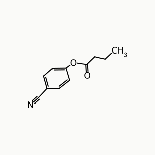 CCCC(=O)Oc1ccc(C#N)cc1